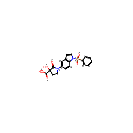 O=C(O)C1(O)CCN(c2ccc3c(ccn3S(=O)(=O)c3ccccc3)c2)C1=O